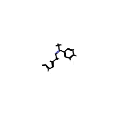 Cc1cc(C(=O)/C=C(\c2cc(Cl)c(Cl)c(Cl)c2)C(F)(F)F)sc1Br